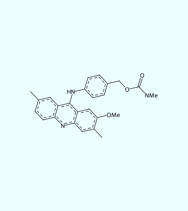 CNC(=O)OCc1ccc(Nc2c3cc(C)ccc3nc3cc(C)c(OC)cc23)cc1